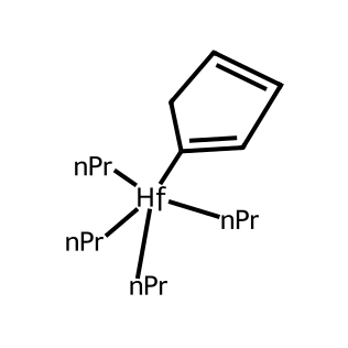 CC[CH2][Hf]([CH2]CC)([CH2]CC)([CH2]CC)[C]1=CC=CC1